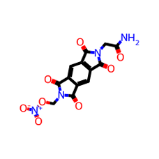 NC(=O)Cn1c(=O)c2cc3c(=O)n(CO[N+](=O)[O-])c(=O)c3cc2c1=O